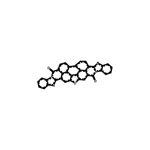 O=c1c2cc3oc4cc5c6c(ccc7c8ccc(c2c8c3c4c76)c2nc3ccccc3n12)c(=O)n1c2ccccc2nc51